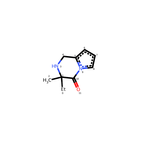 CCC1(C)NCc2cccn2C1=O